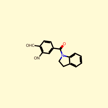 O=Cc1ccc(C(=O)N2CCc3ccccc32)cc1N=O